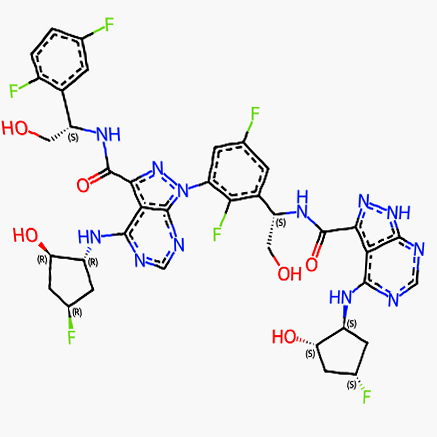 O=C(N[C@H](CO)c1cc(F)cc(-n2nc(C(=O)N[C@H](CO)c3cc(F)ccc3F)c3c(N[C@@H]4C[C@@H](F)C[C@H]4O)ncnc32)c1F)c1n[nH]c2ncnc(N[C@H]3C[C@H](F)C[C@@H]3O)c12